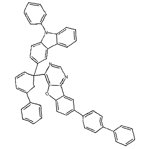 C1=CC(c2ccc3c(c2)c2ccccc2n3-c2ccccc2)(c2ncnc3c2oc2ccc(-c4ccc(-c5ccccc5)cc4)cc23)CC(c2ccccc2)=C1